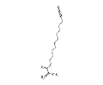 C=C(C)C(=O)OCCCCCCCCCCC#P=O